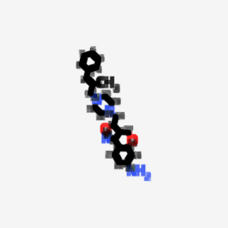 C/C(=C\c1ccccc1)CN1CCN(CC2ON=C3c4ccc(N)cc4OCC32)CC1